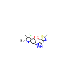 CCc1nc2ccc(C(O)(c3sc(C)nc3C)c3cnnn3C)cc2c(Cl)c1C